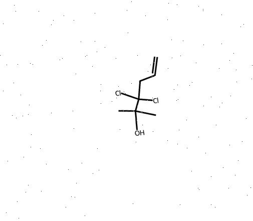 C=CCC(Cl)(Cl)C(C)(C)O